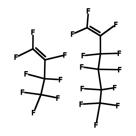 FC(F)=C(F)C(F)(F)C(F)(F)C(F)(F)C(F)(F)F.FC(F)=C(F)C(F)(F)C(F)(F)F